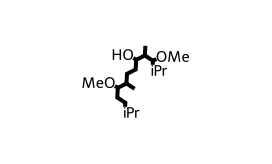 COC(CCC(C)C)C(C)CCC(O)C(C)C(OC)C(C)C